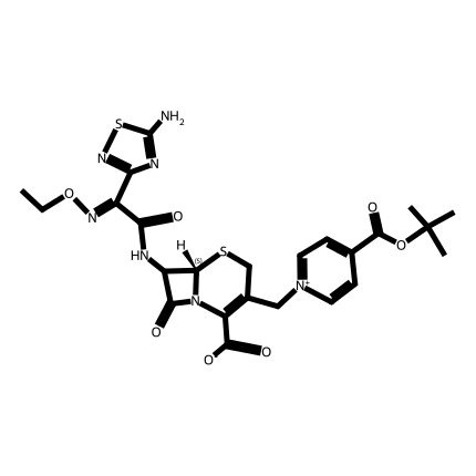 CCON=C(C(=O)NC1C(=O)N2C(C(=O)[O-])=C(C[n+]3ccc(C(=O)OC(C)(C)C)cc3)CS[C@@H]12)c1nsc(N)n1